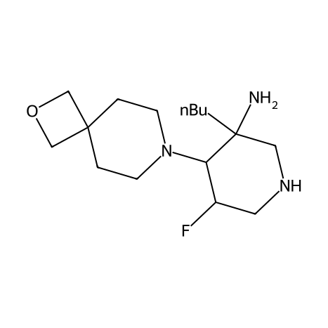 CCCCC1(N)CNCC(F)C1N1CCC2(CC1)COC2